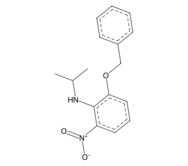 CC(C)Nc1c(OCc2ccccc2)cccc1[N+](=O)[O-]